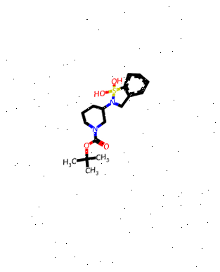 CC(C)(C)OC(=O)N1CCCC(N2Cc3ccccc3S2(O)O)C1